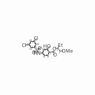 CCC(COC)OC(=O)c1ccc(NS(=O)(=O)c2cc(Cl)cc(Cl)c2)cc1O